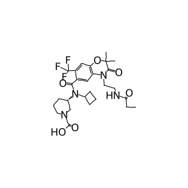 CCC(=O)NCCN1C(=O)C(C)(C)Oc2cc(C(F)(F)F)c(C(=O)N(C3CCC3)[C@@H]3CCCN(C(=O)O)C3)cc21